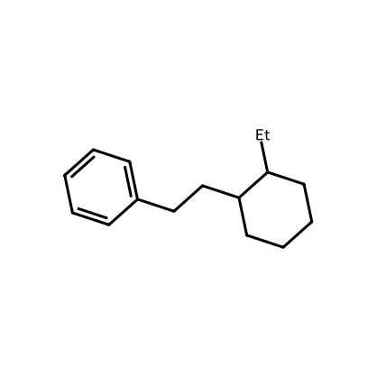 CCC1CCCCC1CCc1ccccc1